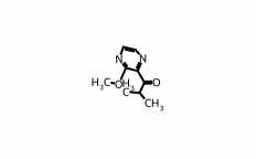 COc1nccnc1C(=O)C(C)C